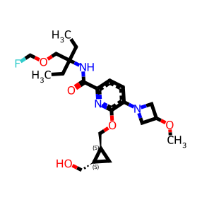 CCC(CC)(COCF)NC(=O)c1ccc(N2CC(OC)C2)c(OC[C@H]2C[C@@H]2CO)n1